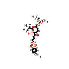 CCOC(OC)OCC1CCCC(O)(C(=O)CCCCOS(=O)(=O)c2ccc(C)cc2)OC(C(C)C)O1